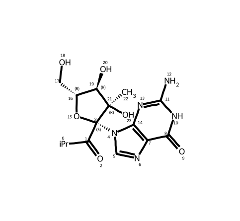 CC(C)C(=O)[C@@]1(n2cnc3c(=O)[nH]c(N)nc32)O[C@H](CO)[C@@H](O)[C@@]1(C)O